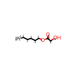 CC(C)CCCCCOC(=O)CO